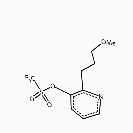 COCCCc1ncccc1OS(=O)(=O)C(F)(F)F